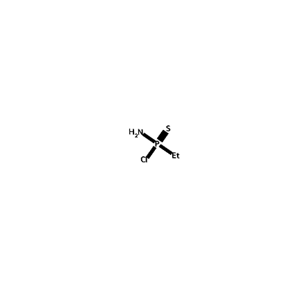 CCP(N)(=S)Cl